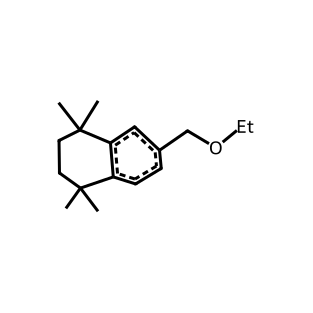 CCOCc1ccc2c(c1)C(C)(C)CCC2(C)C